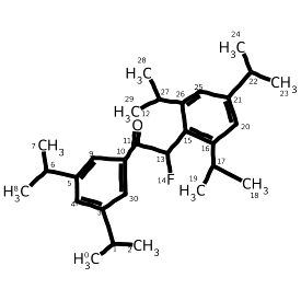 CC(C)c1[c]c(C(C)C)cc(C(=O)C(F)c2c(C(C)C)cc(C(C)C)cc2C(C)C)c1